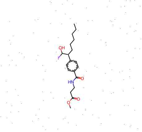 CCCCCCC(c1ccc(C(=O)NCCC(=O)OC)cc1)C(O)I